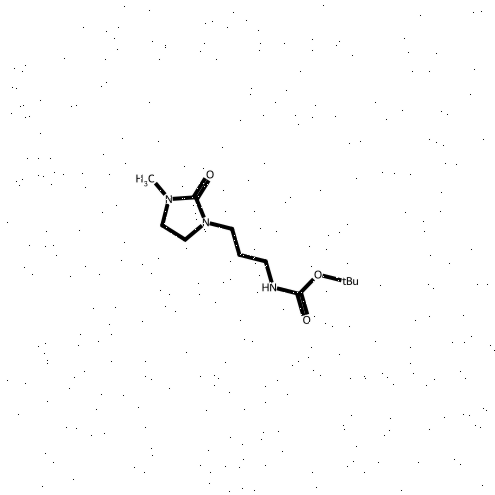 CN1CCN(CCCNC(=O)OC(C)(C)C)C1=O